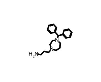 NCCCN1CCCN(C(c2ccccc2)c2ccccc2)CC1